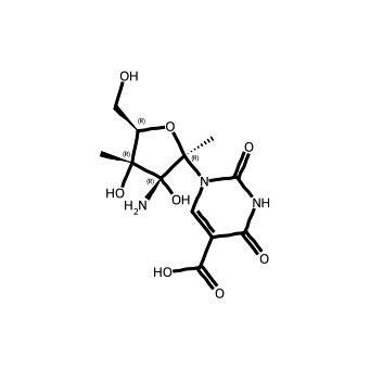 C[C@@]1(n2cc(C(=O)O)c(=O)[nH]c2=O)O[C@H](CO)[C@@](C)(O)[C@@]1(N)O